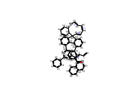 C=C/C=C(\C=C)c1nc(-c2ccccc2)nc(-c2cccc3c2-c2c(-c4cccc(-c5nccc6ccccc56)c4)cccc2C32/C=C/C=C\C=C\SC3C=CC=CC32)n1